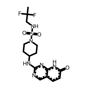 CC(F)(F)CNS(=O)(=O)N1CCC(Nc2ncc3ccc(=O)[nH]c3n2)CC1